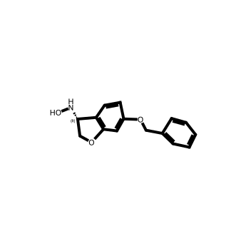 ON[C@H]1COc2cc(OCc3ccccc3)ccc21